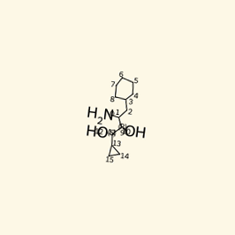 NC(CC1CCCCC1)[C@@H](O)[C@@H](O)C1CC1